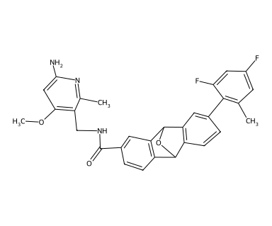 COc1cc(N)nc(C)c1CNC(=O)c1ccc2c(c1)C1OC2c2ccc(-c3c(C)cc(F)cc3F)cc21